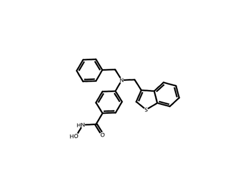 O=C(NO)c1ccc(N(Cc2ccccc2)Cc2csc3ccccc23)cc1